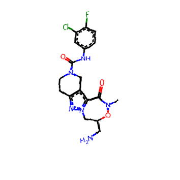 CN1OC(CN)Cn2nc3c(c2C1=O)CN(C(=O)Nc1ccc(F)c(Cl)c1)CC3